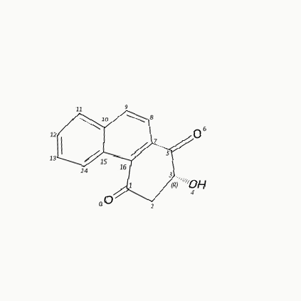 O=C1C[C@@H](O)C(=O)c2ccc3ccccc3c21